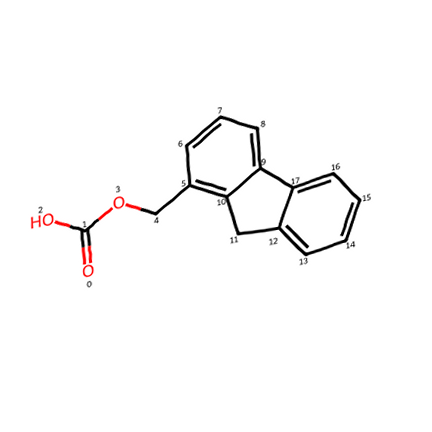 O=C(O)OCc1cccc2c1Cc1ccccc1-2